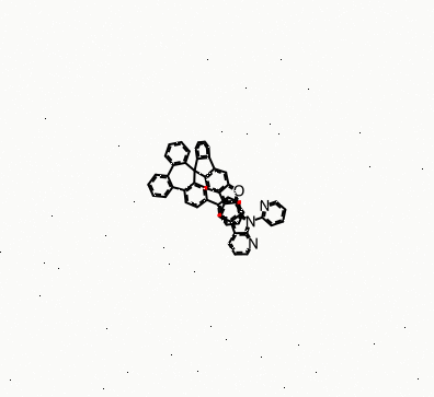 c1ccc(-n2c3ccc(-c4ccc5c(c4)C4(c6ccccc6-c6ccccc6-5)c5ccccc5-c5cc6oc7ccccc7c6cc54)cc3c3cccnc32)nc1